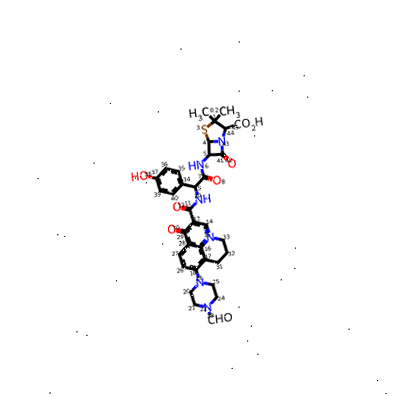 CC1(C)SC2C(NC(=O)C(NC(=O)c3cn4c5c(c(N6CCN(C=O)CC6)ccc5c3=O)CCC4)c3ccc(O)cc3)C(=O)N2C1C(=O)O